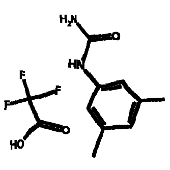 Cc1cc(C)cc(NC(N)=O)c1.O=C(O)C(F)(F)F